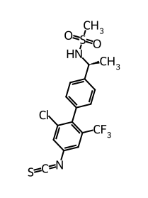 C[C@H](NS(C)(=O)=O)c1ccc(-c2c(Cl)cc(N=C=S)cc2C(F)(F)F)cc1